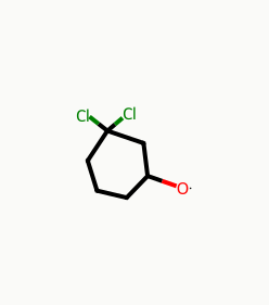 [O]C1CCCC(Cl)(Cl)C1